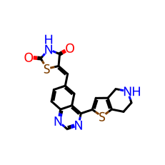 O=C1NC(=O)/C(=C/c2ccc3ncnc(-c4cc5c(s4)CCNC5)c3c2)S1